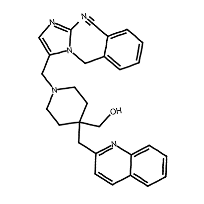 Cc1ncc(CN2CCC(CO)(Cc3ccc4ccccc4n3)CC2)n1Cc1ccccc1C#N